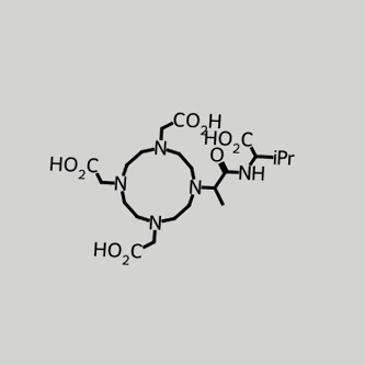 CC(C)C(NC(=O)C(C)N1CCN(CC(=O)O)CCN(CC(=O)O)CCN(CC(=O)O)CC1)C(=O)O